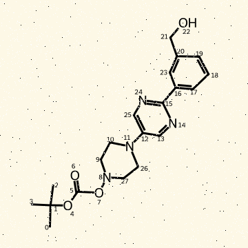 CC(C)(C)OC(=O)ON1CCN(c2cnc(-c3cccc(CO)c3)nc2)CC1